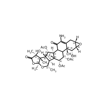 CC(=O)O[C@H]1[C@@H]2[C@H]([C@H](C)O[C@@]3(C)OC(=O)[C@@](C)(O)[C@]23C)[C@]2(C)[C@@H]1C1C(=O)C(N)=C3C[C@@H]4O[C@@H]4[C@H](O)[C@]3(C)C1[C@H](OC(C)=O)[C@@H]2OC(C)=O